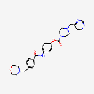 O=C(Nc1ccc(OC(=O)N2CCN(Cc3ccncn3)CC2)cc1)c1ccc(CN2CCOCC2)cc1